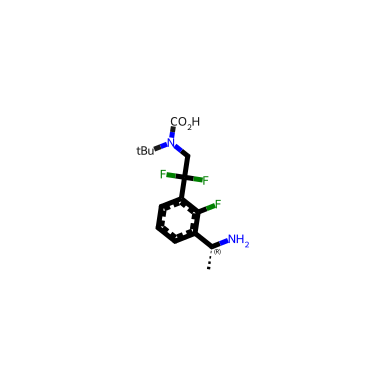 C[C@@H](N)c1cccc(C(F)(F)CN(C(=O)O)C(C)(C)C)c1F